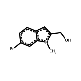 Cn1c(CO)cc2ccc(Br)cc21